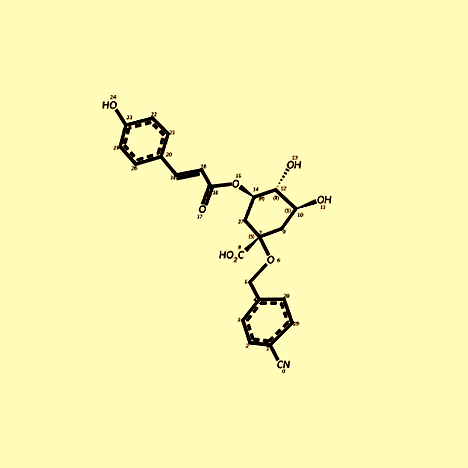 N#Cc1ccc(CO[C@@]2(C(=O)O)C[C@H](O)[C@@H](O)[C@H](OC(=O)C=Cc3ccc(O)cc3)C2)cc1